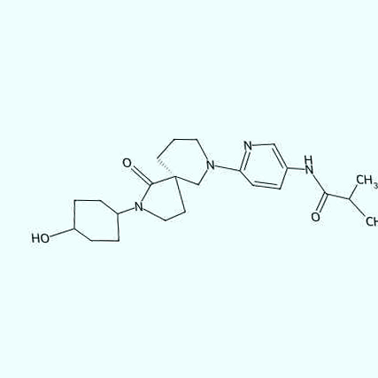 CC(C)C(=O)Nc1ccc(N2CCC[C@@]3(CCN(C4CCC(O)CC4)C3=O)C2)nc1